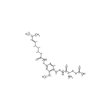 COc1cc(CNC(=O)CCCC/C=C/C(C)C)ccc1OCNC(=O)[C@@H](N)CCC(=O)O